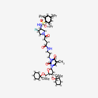 COC1(OC[C@H]2O[C@@H](n3cc(C)c(=O)n(CCCNC(=O)CCC(=O)N4CC(F)C(NS(=O)(=O)c5c(C(C)C)cc(C(C)C)cc5C(C)C)C4)c3=O)C[C@@H]2OC2(OC)CCCCC2)CCCCC1